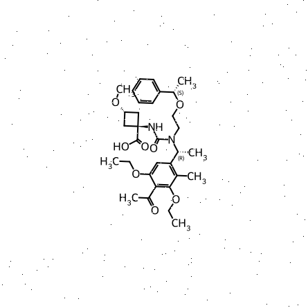 CCOc1cc([C@@H](C)N(CCO[C@@H](C)c2ccccc2)C(=O)N[C@]2(C(=O)O)C[C@@H](OC)C2)c(C)c(OCC)c1C(C)=O